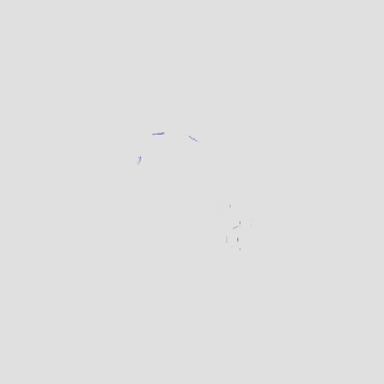 CCCCC/C=C\C/C=C\C/C=C\CCCCCOCC(=O)OC(C)(C)C